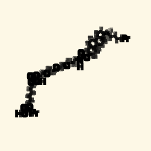 CC(C)CCC[C@@H](C)C1CCC2C3CC=C4C[C@@H](OC(=O)NCCCOCCOCCOCCOP(=O)(O)OCCCCCCOP(=O)(O)C(C)C)CC[C@]4(C)C3CC[C@@]21C